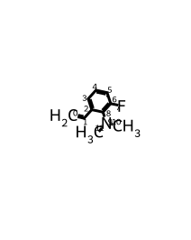 C=Cc1cc[c]c(F)c1N(C)C